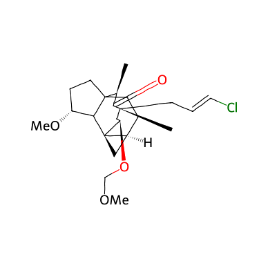 COCO[C@@H]1C[C@@](C)(CC=CCl)C(=O)[C@H](C)C23CC[C@H]4C[C@]41C2[C@H](OC)CC3